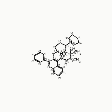 C[C@H](NC(=O)c1c(CN2CCC(N3CCCCC3)CC2)c(-c2ccccc2)nc2ccccc12)C(C)(C)C